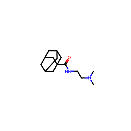 CN(C)CCNC(=O)C12CC3CC(CC(C3)C1)C2